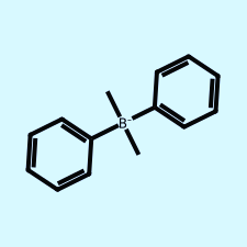 C[B-](C)(c1ccccc1)c1ccccc1